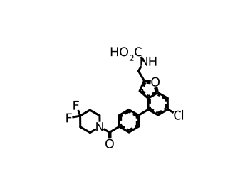 O=C(O)NCc1cc2c(-c3ccc(C(=O)N4CCC(F)(F)CC4)cc3)cc(Cl)cc2o1